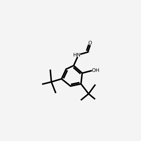 CC(C)(C)c1cc(N[C]=O)c(O)c(C(C)(C)C)c1